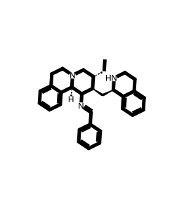 CC[C@H]1CN2CCc3ccccc3[C@@H]2C(N=Cc2ccccc2)[C@@H]1C[C@H]1NCCc2ccccc21